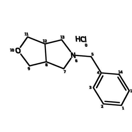 Cl.c1ccc(CN2CC3COCC3C2)cc1